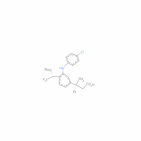 CC[C@](C)(CC(=O)O)c1ccc([C@@H](OC)C(F)(F)F)c(Nc2ccc(Cl)cc2)c1